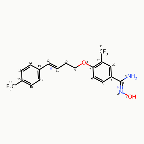 N/C(=N\O)c1ccc(OCC/C=C/c2ccc(C(F)(F)F)cc2)c(C(F)(F)F)c1